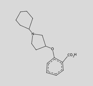 O=C(O)c1ccccc1OC1CCN(C2CCCCC2)C1